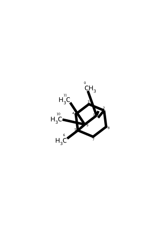 CC1=C2CCC(C)(CC2)C1(C)C